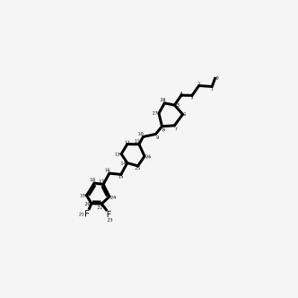 CCCCCC1CCC(CCC2CCC(CCc3ccc(F)c(F)c3)CC2)CC1